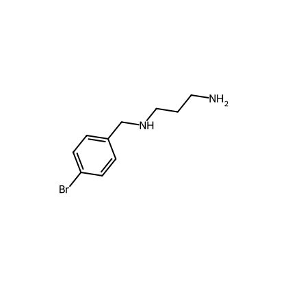 NCCCNCc1ccc(Br)cc1